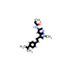 C=CC(=O)Nc1cnc2c(c1)c(C=Cc1ccc(C(C)C)cc1)cn2C